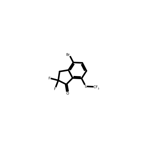 O=C1c2c(SC(F)(F)F)ccc(Br)c2CC1(F)F